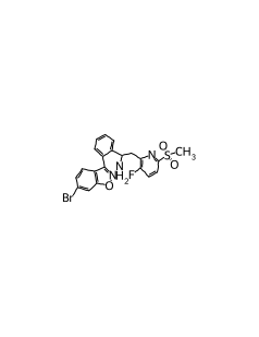 CS(=O)(=O)c1ccc(F)c(CC(N)c2ccccc2-c2noc3cc(Br)ccc23)n1